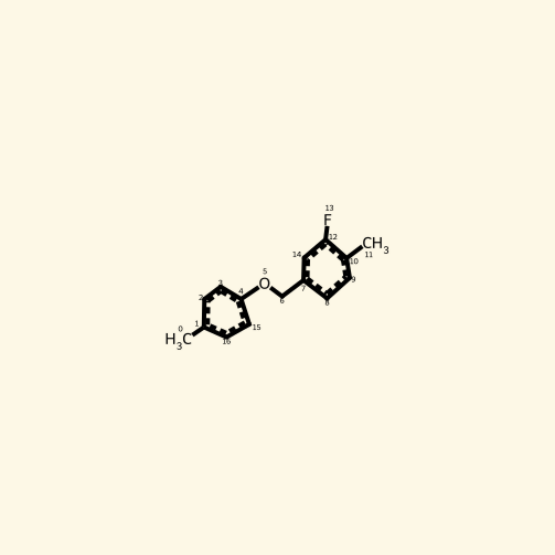 Cc1ccc(OCc2ccc(C)c(F)c2)cc1